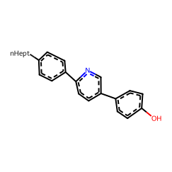 CCCCCCCc1ccc(-c2ccc(-c3ccc(O)cc3)cn2)cc1